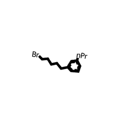 CCCc1cccc(CCCCCBr)c1